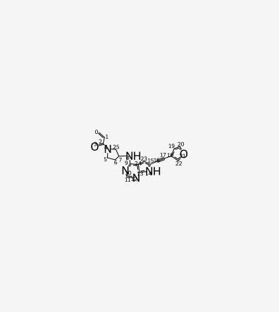 C=CC(=O)N1CCC(Nc2ncnc3[nH]c(C#Cc4ccoc4)cc23)C1